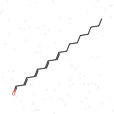 CCCCCCCCC=CC=CC=CC=C[C]=O